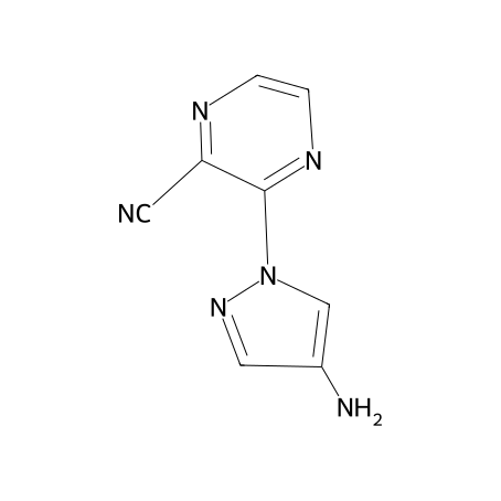 N#Cc1nccnc1-n1cc(N)cn1